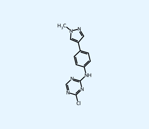 Cn1cc(-c2ccc(Nc3ncnc(Cl)n3)cc2)cn1